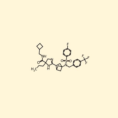 CCCC1(C(=O)NCC2CCC2)CN=C(C2CC3(N(Cc4ccc(C(F)(F)F)cc4)S(=O)(=O)c4ccc(F)cc4)CC2C3)N1